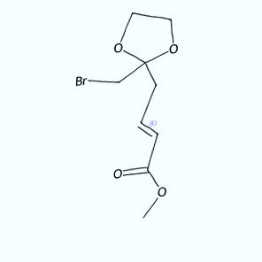 COC(=O)/C=C/CC1(CBr)OCCO1